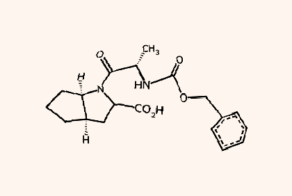 C[C@H](NC(=O)OCc1ccccc1)C(=O)N1C(C(=O)O)C[C@H]2CCC[C@H]21